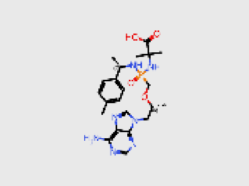 Cc1ccc([C@@H](C)NP(=O)(CO[C@H](C)Cn2cnc3c(N)ncnc32)NC(C)(C)C(=O)O)cc1